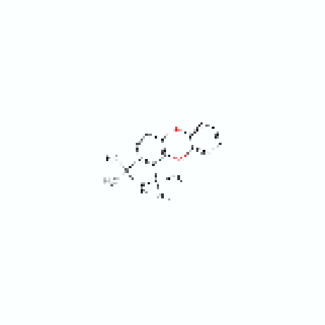 CC(C)(C)c1ccc2c(c1C(C)(C)C)Oc1ccccc1O2